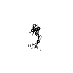 CCOc1ccccc1-n1c(C(C)N2CCN(C(=O)COc3ccc(CNC(C)SC)cc3)CC2)nc2ccccc2c1=O